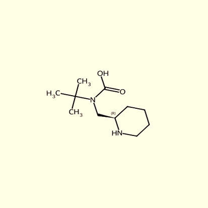 CC(C)(C)N(C[C@H]1CCCCN1)C(=O)O